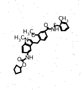 COc1cc(C(=O)NSc2ccccc2C)ccc1Cc1cn(C)c2ccc(NC(=O)OC3CCCC3)cc12